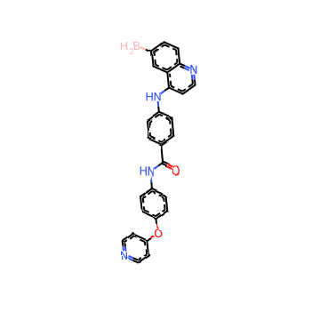 Bc1ccc2nccc(Nc3ccc(C(=O)Nc4ccc(Oc5ccncc5)cc4)cc3)c2c1